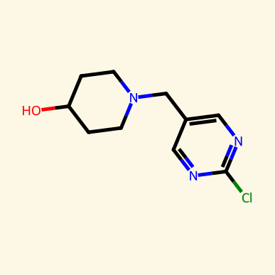 OC1CCN(Cc2cnc(Cl)nc2)CC1